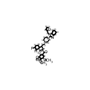 COc1cc(C(=O)N(C)CC(CCN2CCCN(c3nc4ccccc4n3Cc3ccco3)CC2)c2ccc(F)cc2)cc(OC)c1OC